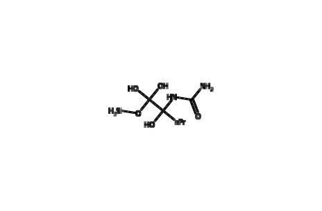 CCCC(O)(NC(N)=O)C(O)(O)O[SiH3]